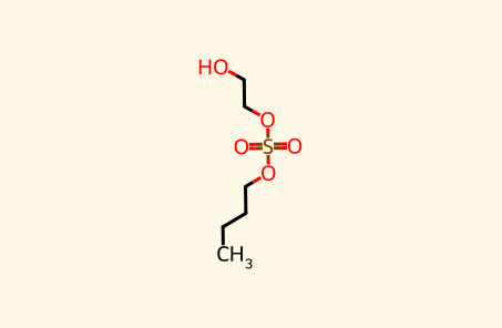 CCCCOS(=O)(=O)OCCO